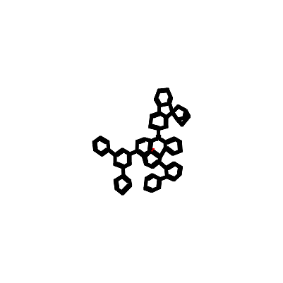 c1ccc(-c2cc(-c3ccccc3)cc(-c3ccc(N(c4ccc5c(c4)C4(CC6CCC4C6)c4ccccc4-5)c4ccccc4-c4ccccc4-c4ccccc4-c4ccccc4)cc3)c2)cc1